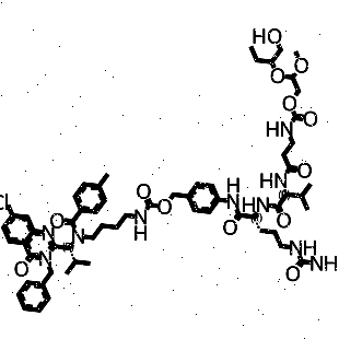 CCC(CO)OC(COC(=O)NCCC(=O)N[C@@H](C(=O)N[C@H](CCCNC(N)=O)C(=O)Nc1ccc(COC(=O)NCCCCN(C(=O)c2ccc(C)cc2)[C@@H](c2nc3cc(Cl)ccc3c(=O)n2Cc2ccccc2)C(C)C)cc1)C(C)C)OC